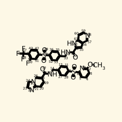 COc1cccc(S(=O)(=O)c2ccc(CNC(=O)c3ccc4nccn4c3)cc2)n1.O=C(NCc1ccc(S(=O)(=O)c2ccc(C(F)(F)F)c(F)c2)cc1)c1cc2cnccc2[nH]1